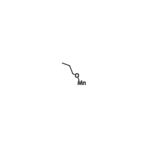 CCC[O][Mn]